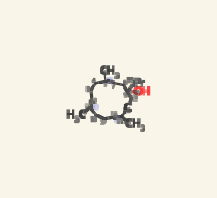 C/C1=C\CC/C(C)=C/CC(O)(C(C)C)CC/C(C)=C/CC1